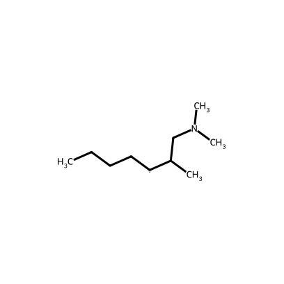 CCCC[CH]C(C)CN(C)C